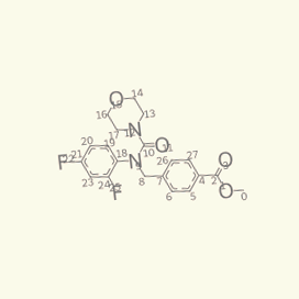 COC(=O)c1ccc(CN(C(=O)N2CCOCC2)c2ccc(F)cc2F)cc1